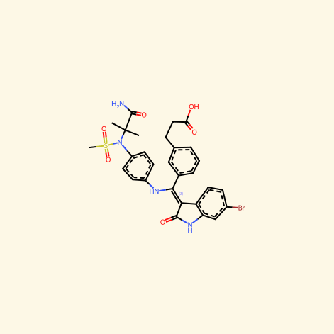 CC(C)(C(N)=O)N(c1ccc(N/C(=C2\C(=O)Nc3cc(Br)ccc32)c2cccc(CCC(=O)O)c2)cc1)S(C)(=O)=O